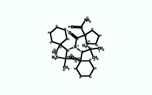 CC(C)(C)[C@@H](N(C(=O)C1(C(N)=O)CCCC1)[C@H](C(C)(C)C)C1(O)CCCCC1)C1(O)CCCCC1